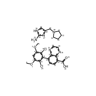 COc1cc(OC)c(Cl)c(-c2ccc(C(=O)O)c3nccnc23)c1Cl.Nc1nc(CN2CCCC2)c[nH]1